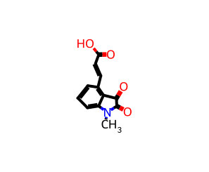 CN1C(=O)C(=O)c2c(/C=C/C(=O)O)cccc21